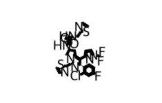 O=S(=O)(NCc1nccs1)N[C@H]1CC2=C(c3ccn(C(F)F)n3)[C@H](c3ccc(F)cc3Cl)N=C(c3nccs3)N2C1